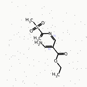 C=C(/N=C\C(=C/N)C(=O)OCC)S(C)(=O)=O